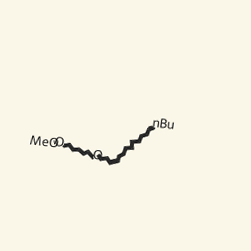 CCCC/C=C/CCCCCCCC/C=C\CCOCCCCCCCOOC